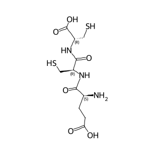 N[C@@H](CCC(=O)O)C(=O)N[C@@H](CS)C(=O)N[C@@H](CS)C(=O)O